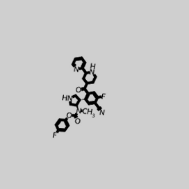 CN(C(=O)Oc1ccc(F)cc1)[C@H]1CNC[C@@H]1c1cc(C#N)c(F)cc1C(=O)C1CCNC(c2ccccn2)C1